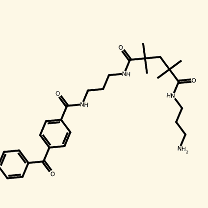 CC(C)(CC(C)(C)C(=O)NCCCNC(=O)c1ccc(C(=O)c2ccccc2)cc1)C(=O)NCCCN